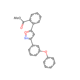 COC(=O)c1ccccc1-c1cc(-c2cccc(Oc3ccccc3)c2)no1